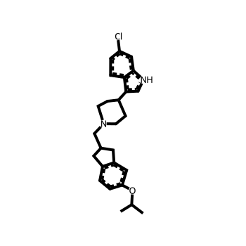 CC(C)Oc1ccc2c(c1)CC(CN1CCC(c3c[nH]c4cc(Cl)ccc34)CC1)C2